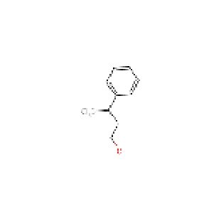 [O]CCC(c1ccccc1)C(Cl)(Cl)Cl